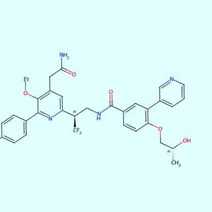 CCOc1c(CC(N)=O)cc([C@@H](CNC(=O)c2ccc(OC[C@@H](C)O)c(-c3cccnc3)c2)C(F)(F)F)nc1-c1ccc(F)cc1